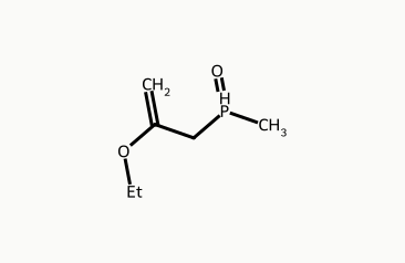 C=C(C[PH](C)=O)OCC